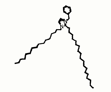 CCCCCCCCCCCCCCCCCCCc1n(Cc2ccccc2)cc[n+]1CCCCCCCCCCCCCCCC